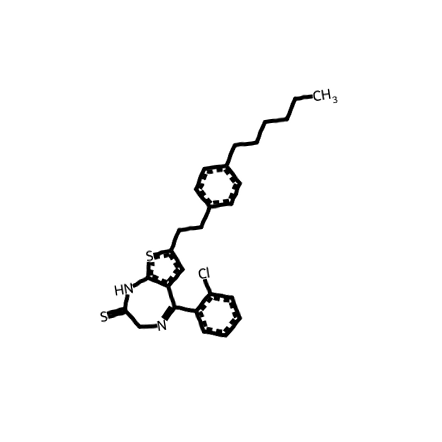 CCCCCCc1ccc(CCc2cc3c(s2)NC(=S)CN=C3c2ccccc2Cl)cc1